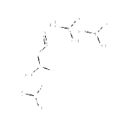 O=COB(O)O.OB(O)O.OB(O)O.OB(O)O.[LiH]